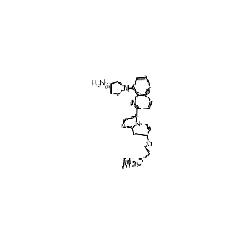 COCCOc1ccn2c(-c3ccc4cccc(N5CC[C@H](N)C5)c4n3)cnc2c1